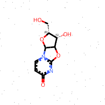 O=c1ccn2c(n1)OC1C2O[C@H](CO)[C@@H]1O